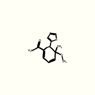 COC1(C)C=CC=C(C(N)=O)C1c1cccs1